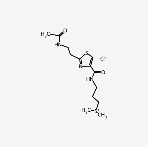 CC(=O)NCCc1nc(C(=O)NCCC[S+](C)C)cs1.[Cl-]